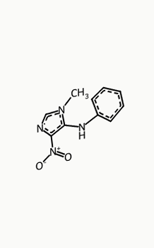 Cn1cnc([N+](=O)[O-])c1Nc1ccccc1